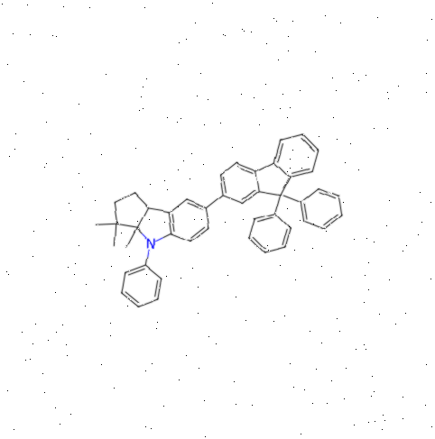 CC1(C)CCC2c3cc(-c4ccc5c(c4)C(c4ccccc4)(c4ccccc4)c4ccccc4-5)ccc3N(c3ccccc3)C21C